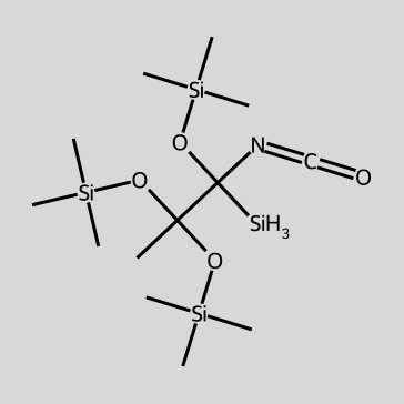 CC(O[Si](C)(C)C)(O[Si](C)(C)C)C([SiH3])(N=C=O)O[Si](C)(C)C